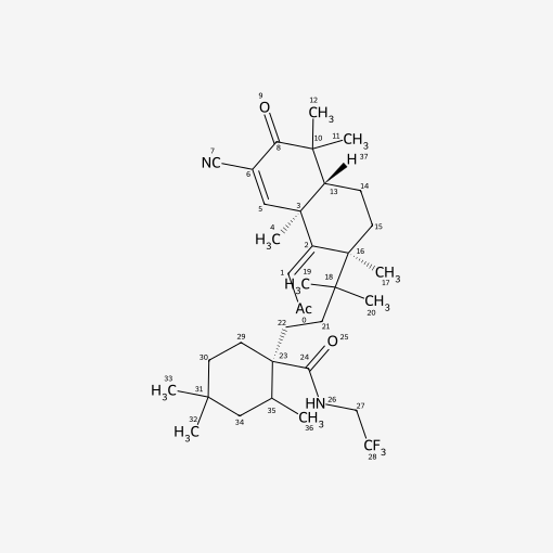 CC(=O)/C=C1/[C@@]2(C)C=C(C#N)C(=O)C(C)(C)[C@@H]2CC[C@@]1(C)C(C)(C)CC[C@@]1(C(=O)NCC(F)(F)F)CCC(C)(C)CC1C